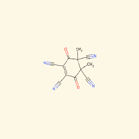 CC1(C#N)C(=O)C(C#N)=C(C#N)C(=O)C1(C)C#N